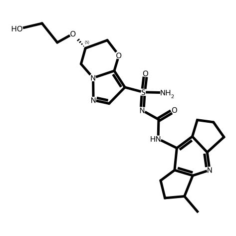 CC1CCc2c1nc1c(c2NC(=O)N=S(N)(=O)c2cnn3c2OC[C@@H](OCCO)C3)CCC1